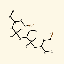 CCC(CCBr)CC(C)(C)CC(CC)C(C)(C)CC(CC)CCBr